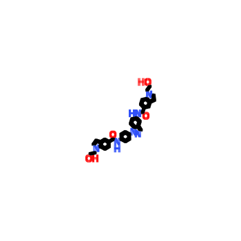 O=C(Nc1ccc(-n2ncc3cc(NC(=O)c4ccc5c(ccn5CCO)c4)ccc32)cc1)c1ccc2c(ccn2CCO)c1